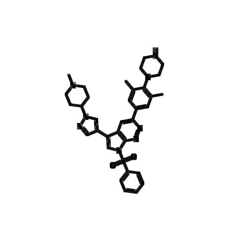 Cc1cc(-c2cc3c(-c4cnn(C5CCN(C)CC5)c4)cn(S(=O)(=O)c4ccccc4)c3nn2)cc(C)c1N1CCNCC1